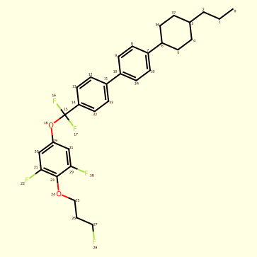 CCCC1CCC(c2ccc(-c3ccc(C(F)(F)Oc4cc(F)c(OCCCF)c(F)c4)cc3)cc2)CC1